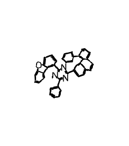 c1ccc(-c2nc(-c3ccc4ccc5cccc(-c6ccccc6)c5c4c3)nc(-c3cccc4oc5ccccc5c34)n2)cc1